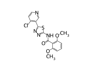 COc1cccc(OC)c1C(=O)Nc1nnc(-c2cnccc2Cl)s1